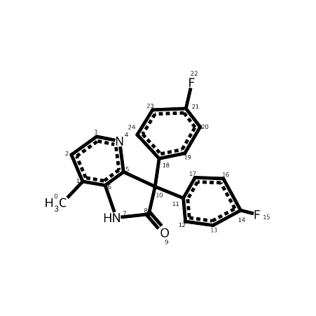 Cc1ccnc2c1NC(=O)C2(c1ccc(F)cc1)c1ccc(F)cc1